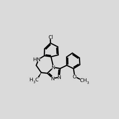 COc1ccccc1-c1nnc2n1-c1ccc(Cl)cc1NC[C@@H]2C